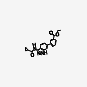 CCOC(=O)c1cccc(-c2ccc3c(NC(=O)C4CC4)n[nH]c3c2)c1